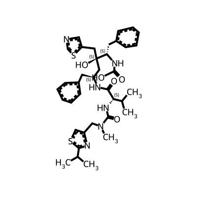 CC(C)c1nc(CN(C)C(=O)N[C@H](C(=O)N[C@@H](Cc2ccccc2)C[C@](O)(Cc2cncs2)[C@H](Cc2ccccc2)NC(=O)O)C(C)C)cs1